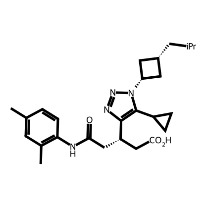 Cc1ccc(NC(=O)C[C@@H](CC(=O)O)c2nnn([C@H]3C[C@@H](CC(C)C)C3)c2C2CC2)c(C)c1